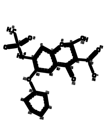 CS(=O)(=O)Nc1cc2oc(O)c([N+](=O)[O-])c(=O)c2cc1Oc1ccccc1